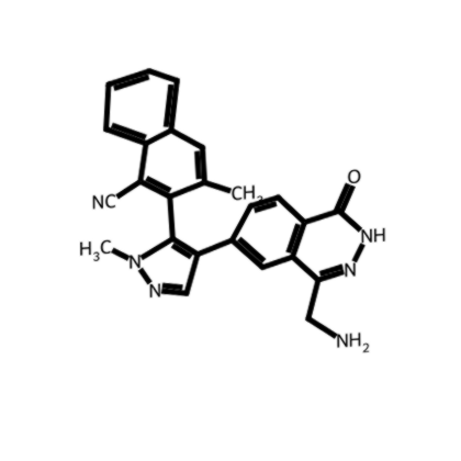 Cc1cc2ccccc2c(C#N)c1-c1c(-c2ccc3c(=O)[nH]nc(CN)c3c2)cnn1C